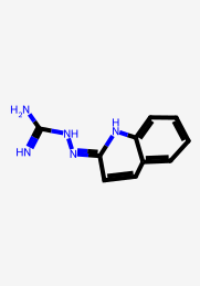 N=C(N)NN=c1ccc2ccccc2[nH]1